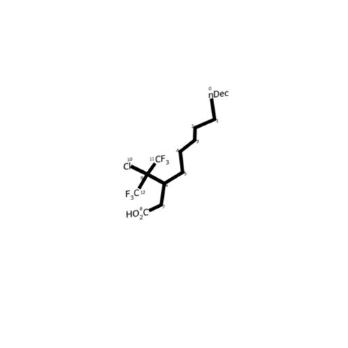 CCCCCCCCCCCCCCCC(CC(=O)O)C(Cl)(C(F)(F)F)C(F)(F)F